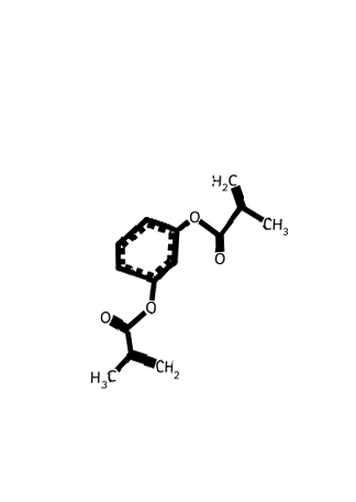 C=C(C)C(=O)Oc1cccc(OC(=O)C(=C)C)c1